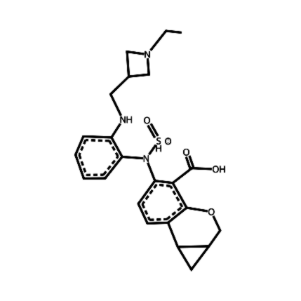 CCN1CC(CNc2ccccc2N(c2ccc3c(c2C(=O)O)OCC2CC32)[SH](=O)=O)C1